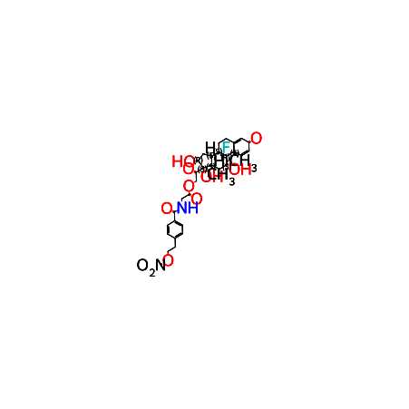 C[C@]12C=CC(=O)C=C1CC[C@H]1[C@@H]3C[C@@H](O)[C@](O)(C(=O)COC(=O)CNC(=O)c4ccc(CCO[N+](=O)[O-])cc4)[C@@]3(C)C[C@H](O)[C@@]12F